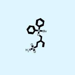 C=CC(CCS(N)(=O)=O)CO[Si](c1ccccc1)(c1ccccc1)C(C)(C)C